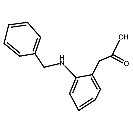 O=C(O)Cc1ccccc1NCc1ccccc1